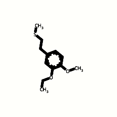 CCOc1cc(CCSC)ccc1OC